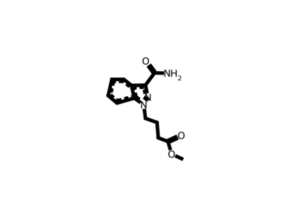 COC(=O)CCCn1nc(C(N)=O)c2ccccc21